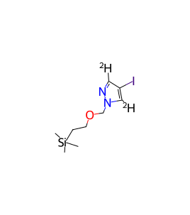 [2H]c1nn(COCC[Si](C)(C)C)c([2H])c1I